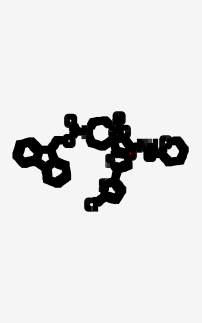 O=C(CC1(c2ccc(-c3ccc(Cl)s3)s2)CCN(C(=O)OCC2c3ccccc3-c3ccccc32)CCS1(=O)=O)NOC1CCCCO1